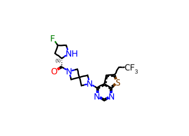 O=C([C@@H]1CC(F)CN1)N1CC2(C1)CN(c1ncnc3sc(CC(F)(F)F)cc13)C2